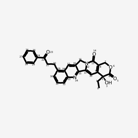 CC[C@@]1(O)C(=O)OCc2c1cc1n(c2=O)Cc2cc3c(CCC(=O)c4ccccc4)cccc3nc2-1